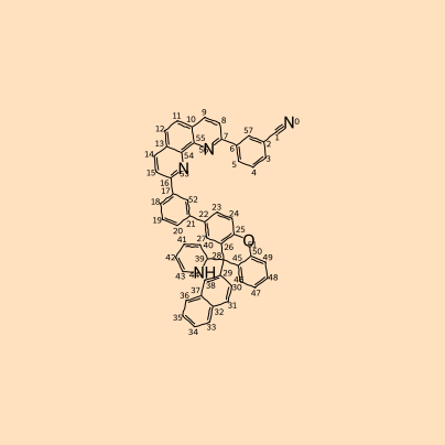 N#Cc1cccc(-c2ccc3ccc4ccc(-c5cccc(-c6ccc7c(c6)C(c6ccc8ccccc8c6)(C6C=CC=CN6)c6ccccc6O7)c5)nc4c3n2)c1